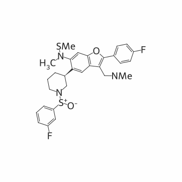 CNCc1c(-c2ccc(F)cc2)oc2cc(N(C)SC)c([C@@H]3CCCN([S+]([O-])c4cccc(F)c4)C3)cc12